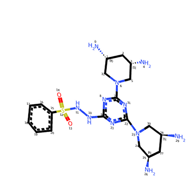 N[C@@H]1C[C@H](N)CN(c2nc(NNS(=O)(=O)c3ccccc3)nc(N3C[C@H](N)C[C@H](N)C3)n2)C1